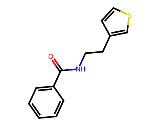 O=C(NCCc1ccsc1)c1ccccc1